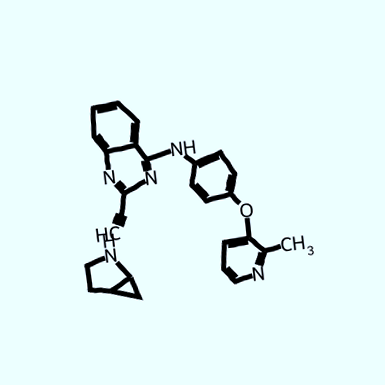 C#Cc1nc(Nc2ccc(Oc3cccnc3C)cc2)c2ccccc2n1.C1CC2CC2N1